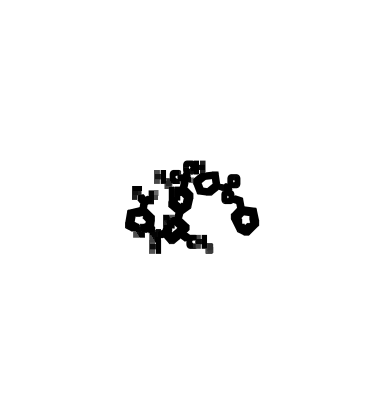 Cc1cc(Nc2cc(C(F)F)ccn2)nc(-c2ccc(C(C)(O)[C@H]3CC[C@H](C(=O)OCc4ccccc4)CC3)nc2)c1